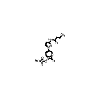 O=C(CCO)Nc1ccn(C2=CC3CN(C2)C(=O)N3OS(=O)(=O)O)n1